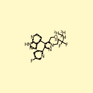 [2H]C([2H])([2H])[C@]1(C(F)(F)F)Cn2nc(-c3ccc(F)cn3)c(-c3ccnc4[nH]ncc34)c2CO1